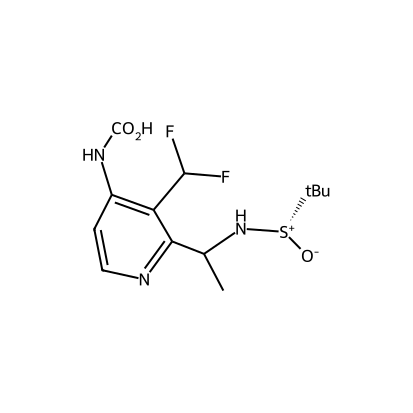 CC(N[S@@+]([O-])C(C)(C)C)c1nccc(NC(=O)O)c1C(F)F